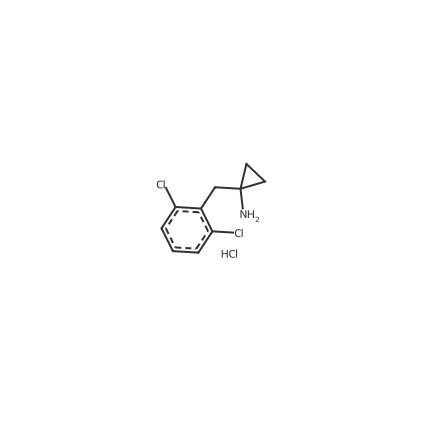 Cl.NC1(Cc2c(Cl)cccc2Cl)CC1